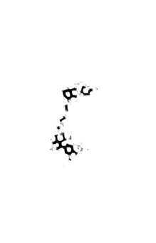 COc1cc(-c2cn(C)c(=O)c3c2CCN(C(=O)NCCOCCNc2cccc4c2C(=O)N(C2CCC(=O)NC2=O)C4=O)C3)c(OC)cc1CN(C)C